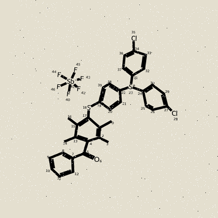 Cc1c(C)c(C(=O)c2ccccc2)c(C)c(C)c1Sc1ccc([S+](c2ccc(Cl)cc2)c2ccc(Cl)cc2)cc1.[F][Sb-]([F])([F])([F])([F])[F]